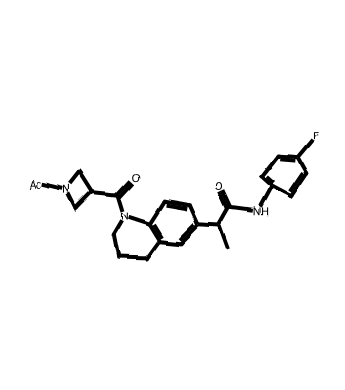 CC(=O)N1CC(C(=O)N2CCCc3cc(C(C)C(=O)Nc4ccc(F)cc4)ccc32)C1